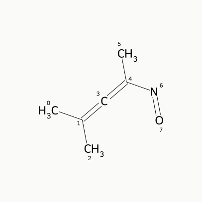 CC(C)=C=C(C)N=O